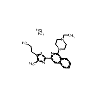 CCN1CCN(c2nc(-c3nc(C)c(CCO)s3)cc3ccccc23)CC1.Cl.Cl